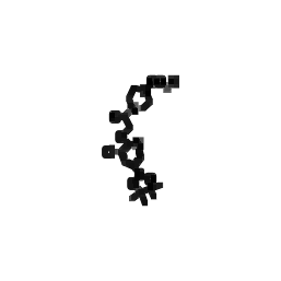 CC1(C)OB(c2cnc(OCC(=O)N3CCN(C(=O)O)CC3)c(Cl)c2)OC1(C)C